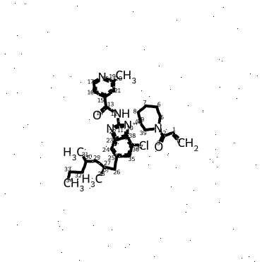 C=CC(=O)N1CCCC[C@@H](n2c(NC(=O)c3ccnc(C)c3)nc3cc(C[C@@H](C)CC(C)CCC)cc(Cl)c32)C1